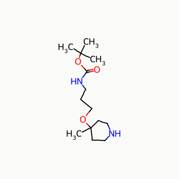 CC(C)(C)OC(=O)NCCCOC1(C)CCNCC1